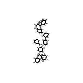 c1ccc(N(c2ccc(-c3cc4ccccc4c4ccccc34)cc2)c2cccc(-c3cccc(-c4ccc5ccc6oc7ccccc7c6c5c4)c3)c2)cc1